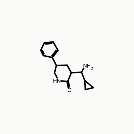 NC(C1CC1)C1CC(c2ccccc2)CNC1=O